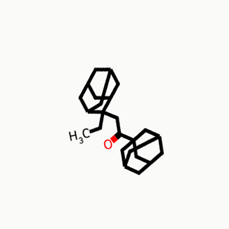 CCC1(CC(=O)C23CC4CC(CC(C4)C2)C3)C2CC3CC(C2)CC1C3